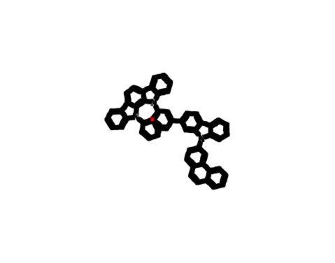 c1ccc(-n2c3ccccc3c3ccc4c5ccccc5n(-c5cccc(-c6ccc7c8ccccc8n(-c8ccc9ccc%10ccccc%10c9c8)c7c6)c5)c4c32)cc1